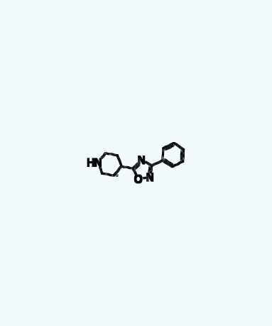 [CH]1CNCCC1c1nc(-c2ccccc2)no1